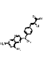 CN(c1ccc(C=C(O)C(=O)O)cc1)c1cnc2nc(N)nc(N)c2n1